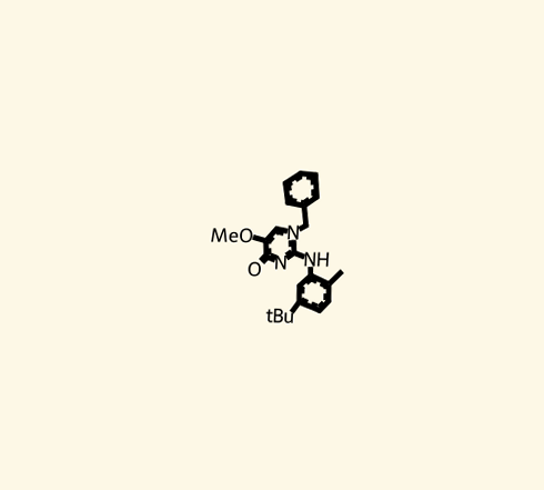 COc1cn(Cc2ccccc2)c(Nc2cc(C(C)(C)C)ccc2C)nc1=O